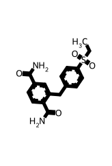 CCS(=O)(=O)c1ccc(Cc2cc(C(N)=O)ccc2C(N)=O)cc1